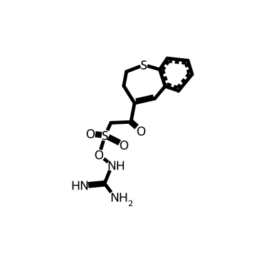 N=C(N)NOS(=O)(=O)CC(=O)C1=Cc2ccccc2SCC1